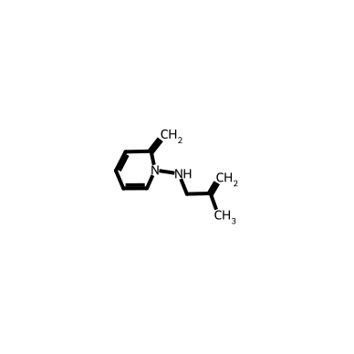 C=C(C)CNN1C=CC=CC1=C